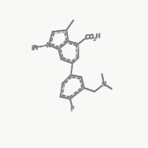 Cc1cn(C(C)C)c2cc(-c3ccc(F)c(CN(C)C)c3)cc(C(=O)O)c12